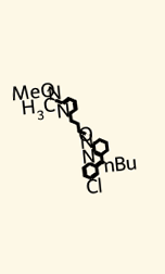 CCCCc1c2c(nc3ccc(Cl)cc13)/C(=N/OCCCc1cccc(/C(C)=N/OC)n1)CCC2